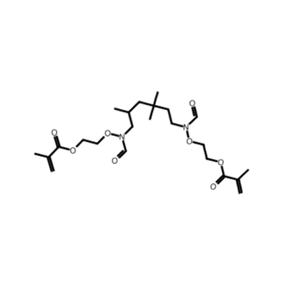 C=C(C)C(=O)OCCON(C=O)CCC(C)(C)CC(C)CN(C=O)OCCOC(=O)C(=C)C